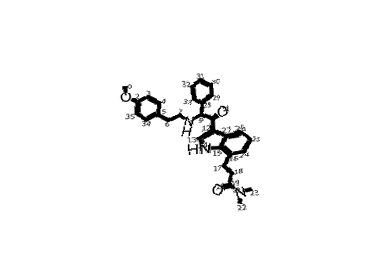 COc1ccc(CCNC(C(=O)c2c[nH]c3c(CCC(=O)N(C)C)cccc23)c2ccccc2)cc1